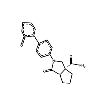 NC(=O)[C@]12[CH]CCN1C(=O)N(c1ccc(-n3ccccc3=O)cc1)C2